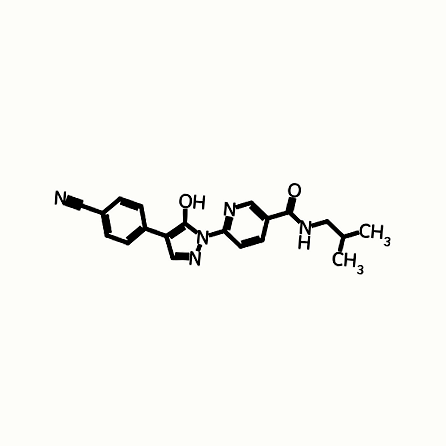 CC(C)CNC(=O)c1ccc(-n2ncc(-c3ccc(C#N)cc3)c2O)nc1